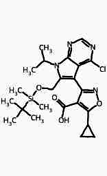 CC(C)n1c(CO[Si](C)(C)C(C)(C)C)c(-c2noc(C3CC3)c2C(=O)O)c2c(Cl)ncnc21